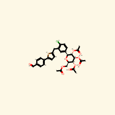 CC(=O)OC[C@H]1O[C@@H](c2ccc(Cl)c(Cc3ccc(-c4ccc(C=O)cc4)s3)c2)[C@H](OC(C)=O)[C@@H](OC(C)=O)[C@@H]1OC(C)=O